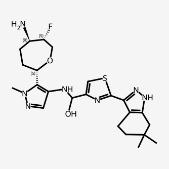 Cn1ncc(NC(O)c2csc(-c3n[nH]c4c3CCC(C)(C)C4)n2)c1[C@@H]1CC[C@@H](N)[C@H](F)CO1